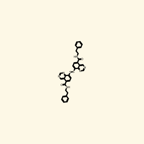 O=C(NCCc1ccccc1)c1ccc(SSc2ccc(C(=O)NCCc3ccccc3)c3cncnc23)c2ncncc12